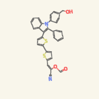 N#C/C(=C/c1ccc(-c2ccc(-c3c(-c4ccccc4)n(-c4ccc(CO)cc4)c4ccccc34)s2)s1)OC=O